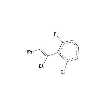 CC/C(=C\C(C)C)c1c(F)cccc1Cl